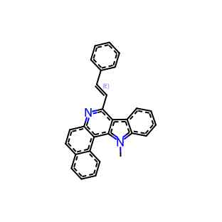 Cn1c2ccccc2c2c(/C=C/c3ccccc3)nc3ccc4ccccc4c3c21